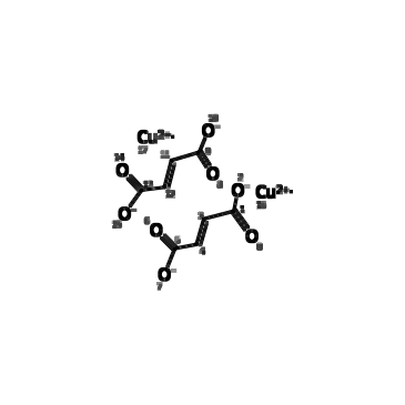 O=C([O-])C=CC(=O)[O-].O=C([O-])C=CC(=O)[O-].[Cu+2].[Cu+2]